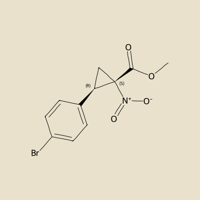 COC(=O)[C@]1([N+](=O)[O-])C[C@@H]1c1ccc(Br)cc1